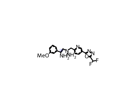 COc1cccc(/C(N)=C/N(N)Cc2ccc(-c3nnc(C(F)F)o3)cn2)c1